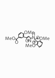 COC(=O)c1ccc(OC)c(-c2cc(NS(=O)(=O)c3c(OC)cccc3OC)no2)c1